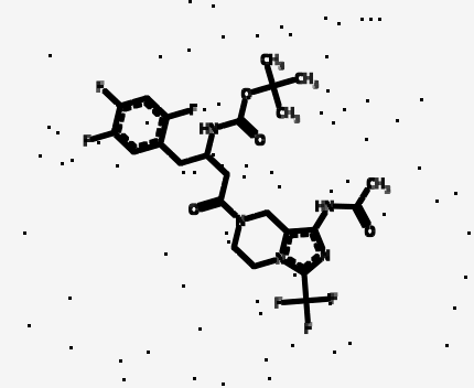 CC(=O)Nc1nc(C(F)(F)F)n2c1CN(C(=O)CC(Cc1cc(F)c(F)cc1F)NC(=O)OC(C)(C)C)CC2